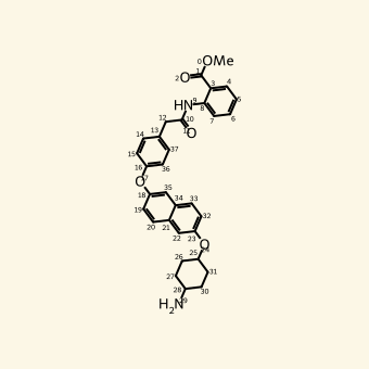 COC(=O)c1ccccc1NC(=O)Cc1ccc(Oc2ccc3cc(OC4CCC(N)CC4)ccc3c2)cc1